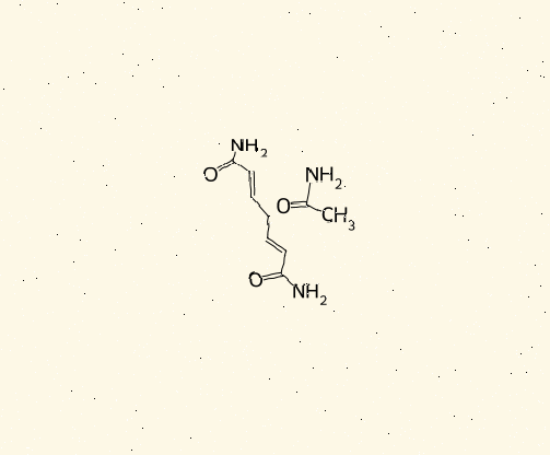 CC(N)=O.NC(=O)C=CCC=CC(N)=O